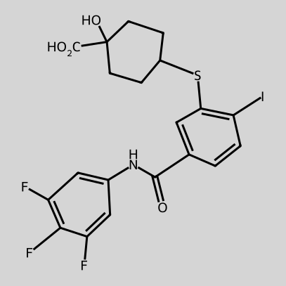 O=C(Nc1cc(F)c(F)c(F)c1)c1ccc(I)c(SC2CCC(O)(C(=O)O)CC2)c1